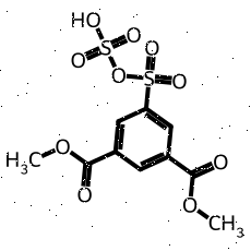 COC(=O)c1cc(C(=O)OC)cc(S(=O)(=O)OS(=O)(=O)O)c1